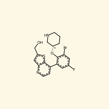 OCc1cc2nccc(-c3cc(F)cc(Br)c3O[C@H]3CCCNC3)c2s1